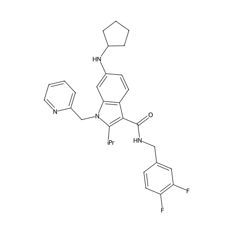 CC(C)c1c(C(=O)NCc2ccc(F)c(F)c2)c2ccc(NC3CCCC3)cc2n1Cc1ccccn1